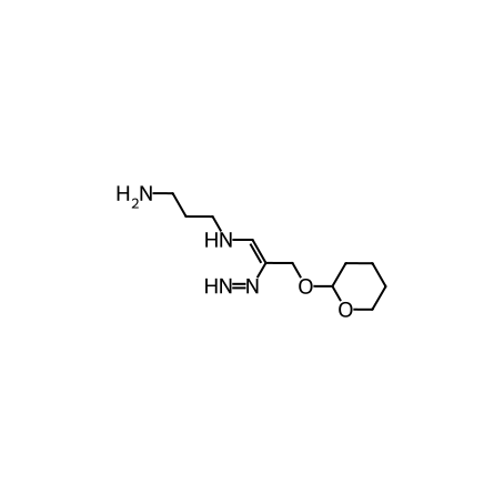 N=N/C(=C\NCCCN)COC1CCCCO1